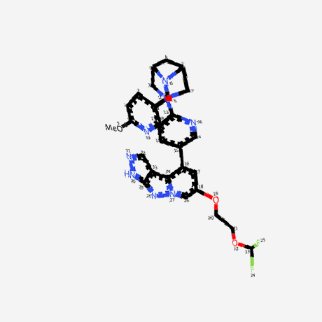 COc1ccc(CN2C3CC2CN(c2ccc(-c4cc(OCCOC(F)F)cn5nc6[nH]ncc6c45)cn2)C3)cn1